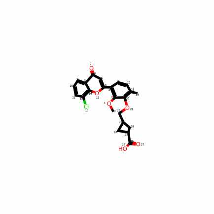 COc1c(-c2cc(=O)c3cccc(Cl)c3o2)ccc(C)c1OCC1CC(C(=O)O)C1